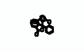 O=C1OC2(c3ccccc3Oc3cccc(S)c32)c2ccccc21